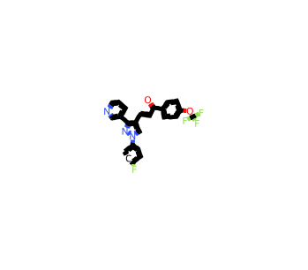 O=C(C=Cc1cn(-c2ccc(F)cc2)nc1-c1cccnc1)c1ccc(OC(F)(F)F)cc1